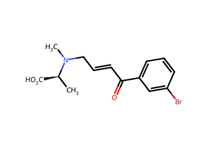 C[C@@H](C(=O)O)N(C)CC=CC(=O)c1cccc(Br)c1